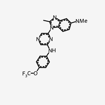 CNc1ccc2c(c1)nc(C)n2-c1cncc(Nc2ccc(OC(F)(F)F)cc2)n1